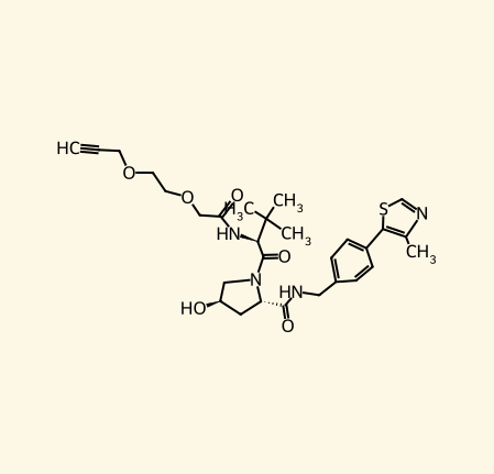 C#CCOCCOCC(=O)N[C@H](C(=O)N1C[C@H](O)C[C@H]1C(=O)NCc1ccc(-c2scnc2C)cc1)C(C)(C)C